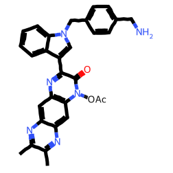 CC(=O)On1c(=O)c(-c2cn(Cc3ccc(CN)cc3)c3ccccc23)nc2cc3nc(C)c(C)nc3cc21